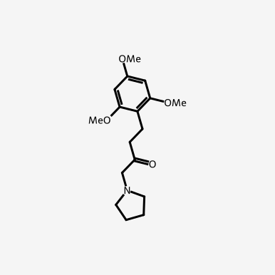 COc1cc(OC)c(CCC(=O)CN2CCCC2)c(OC)c1